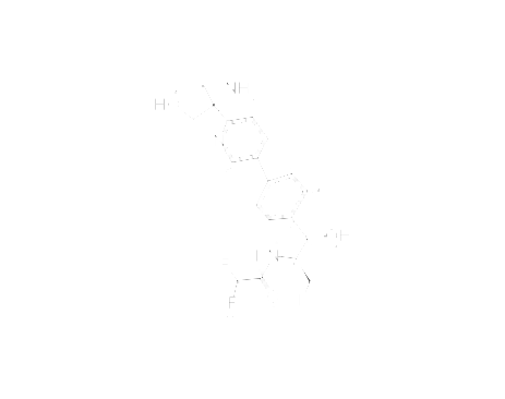 CC(N)(CO)c1ccc(-c2ccc([C@H](O)[C@@H](CF)NC(=O)C(F)F)cc2)cn1